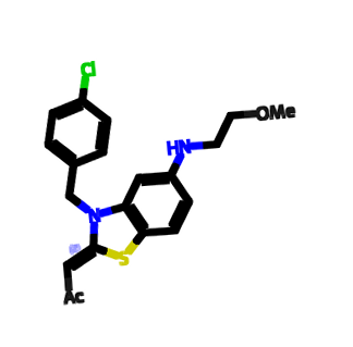 COCCNc1ccc2c(c1)N(Cc1ccc(Cl)cc1)/C(=C/C(C)=O)S2